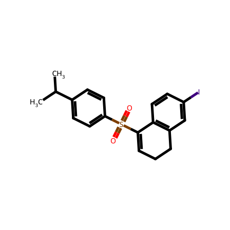 CC(C)c1ccc(S(=O)(=O)C2=CCCc3cc(I)ccc32)cc1